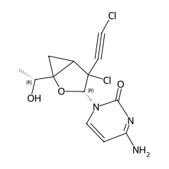 C[C@@H](O)C12CC1C(Cl)(C#CCl)[C@H](n1ccc(N)nc1=O)O2